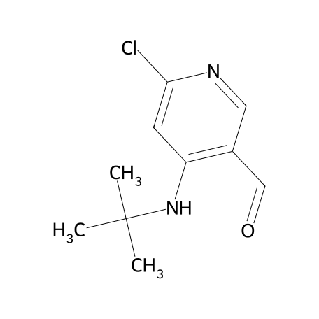 CC(C)(C)Nc1cc(Cl)ncc1C=O